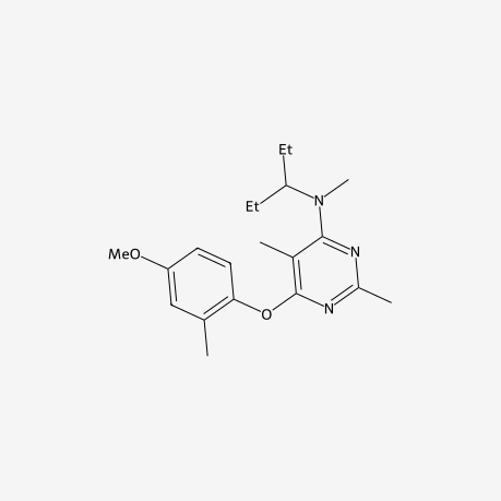 CCC(CC)N(C)c1nc(C)nc(Oc2ccc(OC)cc2C)c1C